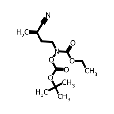 C=C(C#N)CCN(OC(=O)OC(C)(C)C)C(=O)OCC